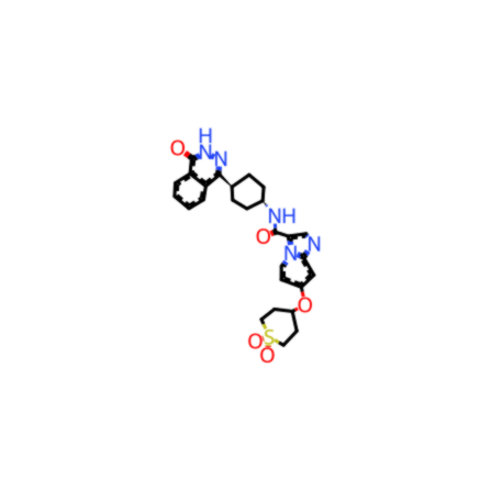 O=C(N[C@H]1CC[C@H](c2n[nH]c(=O)c3ccccc32)CC1)c1cnc2cc(OC3CCS(=O)(=O)CC3)ccn12